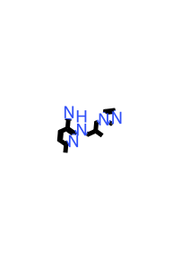 Cc1ccc(C#N)c(NCC(C)Cn2ccnc2)n1